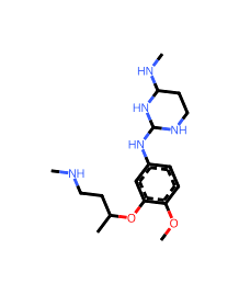 CNCCC(C)Oc1cc(NC2NCCC(NC)N2)ccc1OC